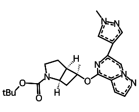 Cn1cc(-c2cn3nccc3c(O[C@@]3(C)C[C@@H]4[C@H]3CCN4C(=O)OC(C)(C)C)n2)cn1